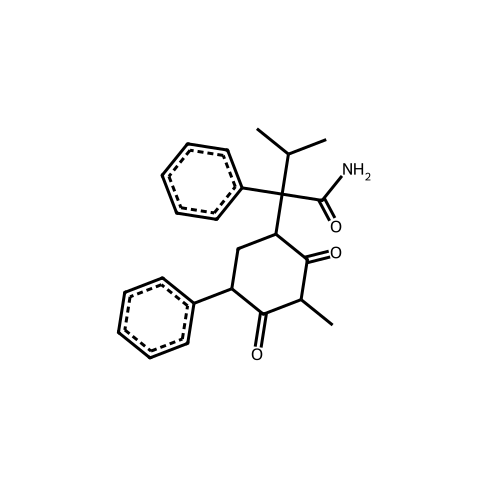 CC1C(=O)C(c2ccccc2)CC(C(C(N)=O)(c2ccccc2)C(C)C)C1=O